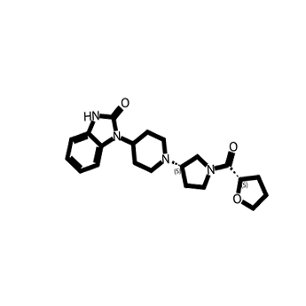 O=C([C@@H]1CCCO1)N1CC[C@H](N2CCC(n3c(=O)[nH]c4ccccc43)CC2)C1